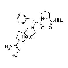 NC(=O)[C@@H]1CCCN1C(=O)[C@@H](Cc1ccccc1)N(CC(=O)O)CC1CCN(C(N)=NO)CC1